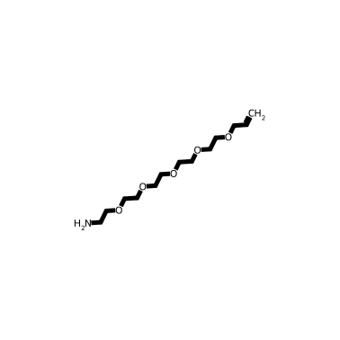 C=CCOCCOCCOCCOCCOCCN